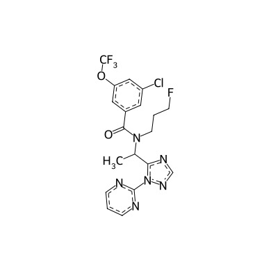 CC(c1ncnn1-c1ncccn1)N(CCCF)C(=O)c1cc(Cl)cc(OC(F)(F)F)c1